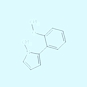 COc1ccccc1-c1cccn1C